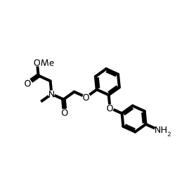 COC(=O)CN(C)C(=O)COc1ccccc1Oc1ccc(N)cc1